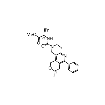 COC(=O)[C@@H](NC(=O)N1CCc2nc(-c3ccccc3)c3c(c2C1)CO[C@@H](C)C3)C(C)C